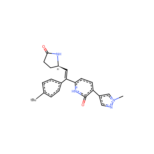 Cn1cc(-c2ccc(C(=C[C@H]3CCC(=O)N3)c3ccc(C(C)(C)C)cc3)[nH]c2=O)cn1